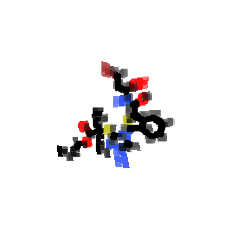 CCOC(=O)C(C)(C)SC1=NNCN1c1sc(C(=O)NC(O)CCBr)c2c1CCCC2